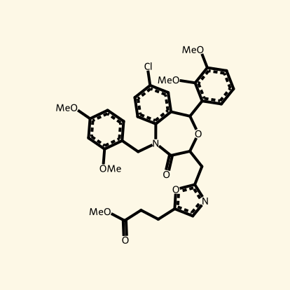 COC(=O)CCc1cnc(CC2OC(c3cccc(OC)c3OC)c3cc(Cl)ccc3N(Cc3ccc(OC)cc3OC)C2=O)o1